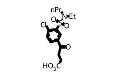 CCCN(CC)S(=O)(=O)c1cc(C(=O)CCC(=O)O)ccc1Cl